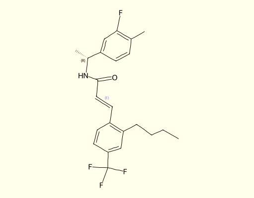 CCCCc1cc(C(F)(F)F)ccc1/C=C/C(=O)N[C@H](C)c1ccc(C)c(F)c1